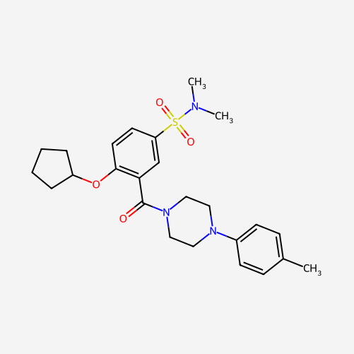 Cc1ccc(N2CCN(C(=O)c3cc(S(=O)(=O)N(C)C)ccc3OC3CCCC3)CC2)cc1